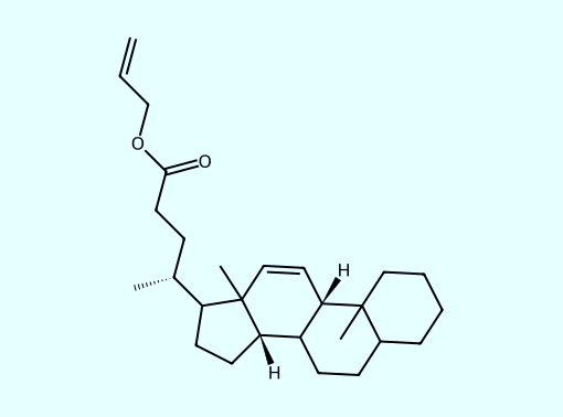 C=CCOC(=O)CC[C@@H](C)C1CC[C@H]2C3CCC4CCCCC4(C)[C@H]3C=CC12C